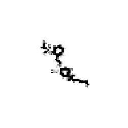 CCCCCC(C)(C)c1ccc(OCCc2ccccc2O[N+](C)(C)CC)cc1.[Cl-]